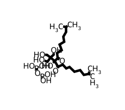 CC(C)CCCCCCC(=O)C(O)(C(=O)CCCCCCC(C)C)C(CO)(CO)CO.OP(O)OP(O)O